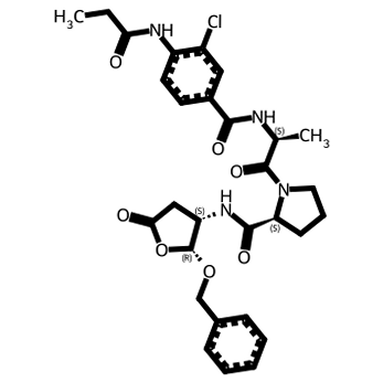 CCC(=O)Nc1ccc(C(=O)N[C@@H](C)C(=O)N2CCC[C@H]2C(=O)N[C@H]2CC(=O)O[C@H]2OCc2ccccc2)cc1Cl